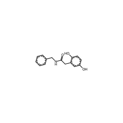 O=C(Cc1cc(O)ccc1O)NCc1ccccc1